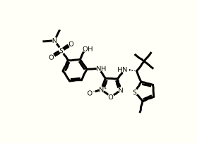 Cc1ccc([C@H](Nc2no[n+]([O-])c2Nc2cccc(S(=O)(=O)N(C)C)c2O)C(C)(C)C)s1